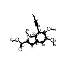 CC#Cc1c(OC)c(OC)cc2cc(C(=O)OC)n(C)c12